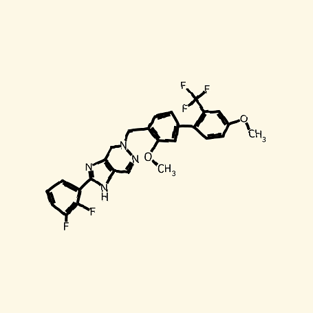 COc1ccc(-c2ccc(CN3Cc4nc(-c5cccc(F)c5F)[nH]c4C=N3)c(OC)c2)c(C(F)(F)F)c1